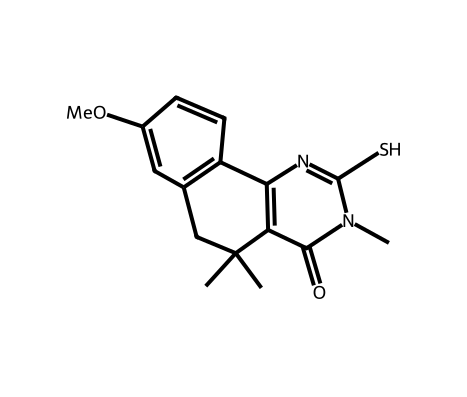 COc1ccc2c(c1)CC(C)(C)c1c-2nc(S)n(C)c1=O